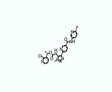 C[C@@H](OC(=O)Nc1c(-c2ccc(C(=O)Nc3ccc(F)nc3)cn2)nnn1C)c1cccnc1Cl